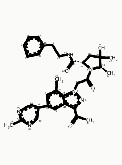 CC(=O)c1nn(CC(=O)N2[C@H](C(=O)NCCc3ccccc3)CC(C)(C)[C@H]2C)c2c(C)cc(-c3cnc(C)nc3)cc12